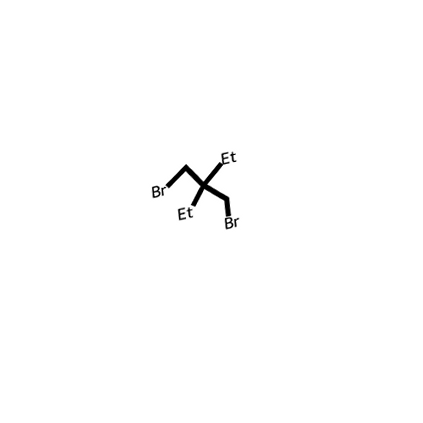 CCC(CC)(CBr)CBr